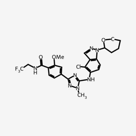 COc1cc(-c2nc(Nc3ccc4c(cnn4C4CCCCO4)c3Cl)n(C)n2)ccc1C(=O)NCC(F)(F)F